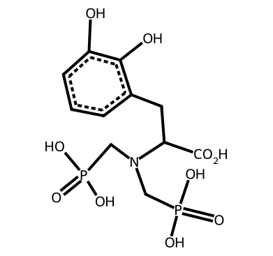 O=C(O)C(Cc1cccc(O)c1O)N(CP(=O)(O)O)CP(=O)(O)O